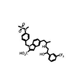 CC(Cc1ccc2c(c1)cc(C(=O)O)n2Cc1ccc(N(C)S(C)(=O)=O)cc1)NCC(O)c1cccc(C(F)(F)F)c1